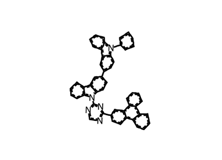 c1ccc(-n2c3ccccc3c3cc(-c4ccc5c(c4)c4ccccc4n5-c4ncnc(-c5ccc6c7ccccc7c7ccccc7c6c5)n4)ccc32)cc1